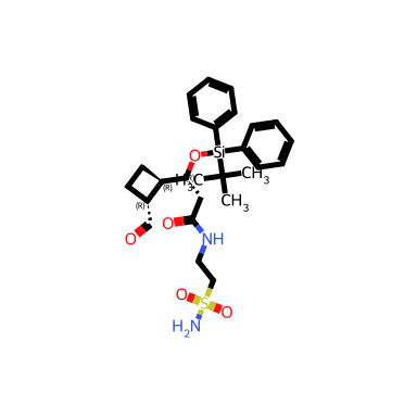 CC(C)(C)[Si](O[C@H](CC(=O)NCCS(N)(=O)=O)[C@@H]1CC[C@H]1C=O)(c1ccccc1)c1ccccc1